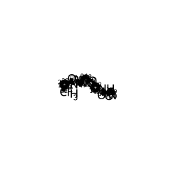 O=C(Nc1cn2nc(Oc3cccc(NC(=O)c4ccno4)c3)ccc2n1)c1cccc(C(F)(F)F)c1